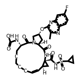 Cc1nc2ccc(F)cc2nc1O[C@@H]1C[C@H]2C(=O)N[C@]3(C(=O)NS(=O)(=O)C4CC4)C[C@H]3C=CCCCCC[C@H](NC(=O)O)C(=O)N2C1